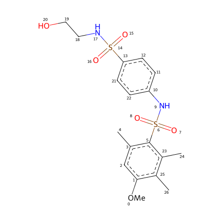 COc1cc(C)c(S(=O)(=O)Nc2ccc(S(=O)(=O)NCCO)cc2)c(C)c1C